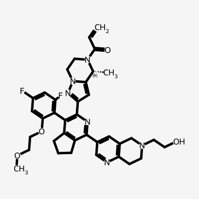 C=CC(=O)N1CCn2nc(-c3nc(-c4cnc5c(c4)CN(CCO)CC5)c4c(c3-c3c(F)cc(F)cc3OCCOC)CCC4)cc2[C@H]1C